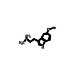 CCOc1ccc2[nH]cc(CCN(C)C)c2c1